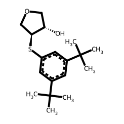 CC(C)(C)c1cc(S[C@H]2COC[C@@H]2O)cc(C(C)(C)C)c1